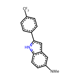 CNc1ccc2[nH]c(-c3ccc(C(F)(F)F)cc3)cc2c1